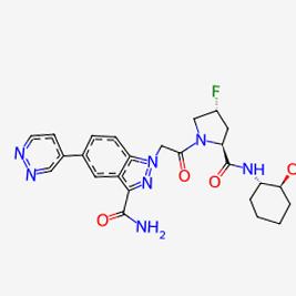 NC(=O)c1nn(CC(=O)N2C[C@H](F)C[C@H]2C(=O)N[C@H]2CCCC[C@@H]2O)c2ccc(-c3ccnnc3)cc12